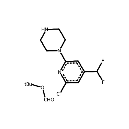 CC(C)(C)OC=O.FC(F)c1cc(Cl)nc(N2CCNCC2)c1